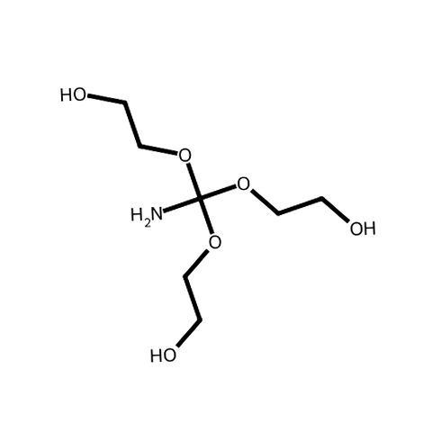 NC(OCCO)(OCCO)OCCO